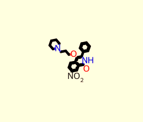 O=c1[nH]c(-c2ccccc2)c(OCCCN2CCCCC2)c2ccc([N+](=O)[O-])cc12